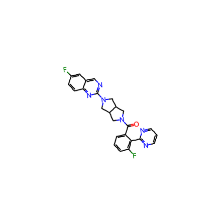 O=C(c1cccc(F)c1-c1ncccn1)N1CC2CN(c3ncc4cc(F)ccc4n3)CC2C1